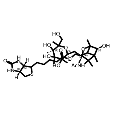 CC(=O)NC1(C)C2(C)C(OC[C@]3(C)OC(C)(CO)[C@](C)(O)C(C)(O)C3(C)O)C(C)(O[C@@]1(C)COC(=O)CCCCC1SC[C@@H]3NC(=O)N[C@H]13)[C@H]2O